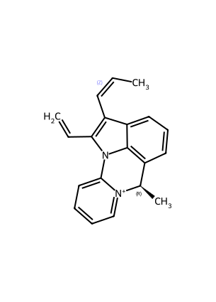 C=Cc1c(/C=C\C)c2cccc3c2n1-c1cccc[n+]1[C@@H]3C